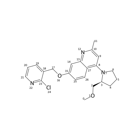 COC[C@@H]1CCCN1c1cc(C)nc2cc(OCc3cccnc3Cl)ccc12